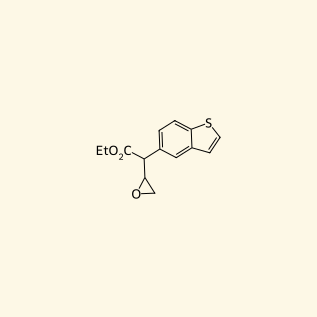 CCOC(=O)C(c1ccc2sccc2c1)C1CO1